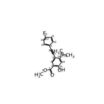 COC(=O)c1cc(C#Cc2ccc(F)cc2)c(N(C)C)cc1O